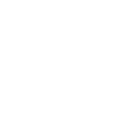 CCOC(C)(C)OC(=O)OC(C)(C)OCC